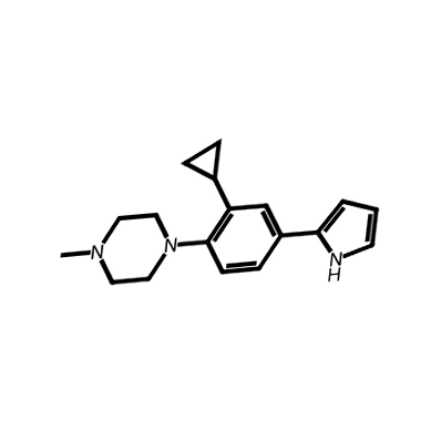 CN1CCN(c2ccc(-c3ccc[nH]3)cc2C2CC2)CC1